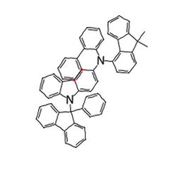 CC1(C)c2ccccc2-c2c(N(c3ccc4c(c3)c3ccccc3n4C3(c4ccccc4)c4ccccc4-c4ccccc43)c3ccccc3-c3ccccc3)cccc21